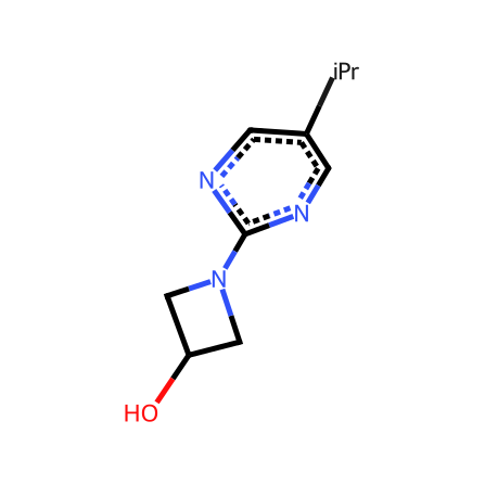 CC(C)c1cnc(N2CC(O)C2)nc1